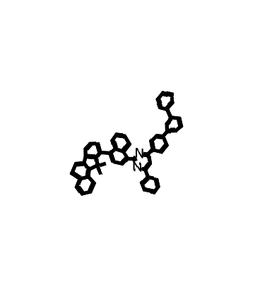 CC1(C)c2c(cccc2-c2ccc(-c3nc(-c4ccccc4)cc(-c4ccc(-c5cccc(-c6ccccc6)c5)cc4)n3)c3ccccc23)-c2ccc3ccccc3c21